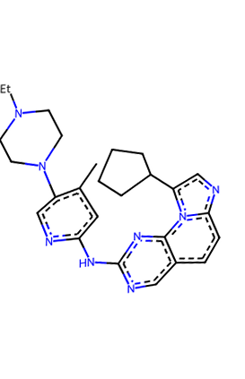 CCN1CCN(c2cnc(Nc3ncc4ccc5ncc(C6CCCC6)n5c4n3)cc2C)CC1